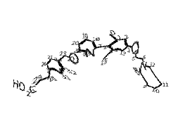 Cc1cc(OCCN2CCCCC2)cc(C)c1-c1cccc(OCc2ccc(CCC(=O)O)cc2)n1